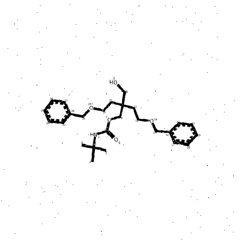 CC(C)(C)NC(=O)OCC(CO)(CCOCc1ccccc1)CCOCc1ccccc1